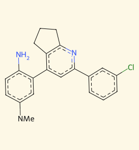 CNc1ccc(N)c(-c2cc(-c3cccc(Cl)c3)nc3c2CCC3)c1